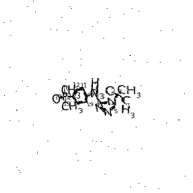 CC(C)(C)n1cnnc1Nc1ccc(P(C)(C)=O)cc1